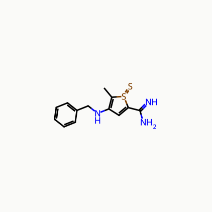 CC1=C(NCc2ccccc2)C=C(C(=N)N)S1=S